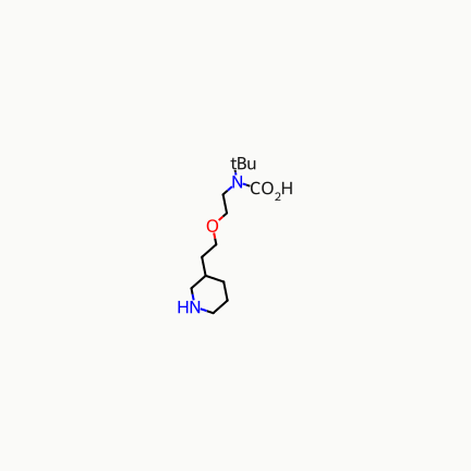 CC(C)(C)N(CCOCCC1CCCNC1)C(=O)O